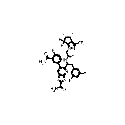 C[C@@H]1c2c(C(F)(F)F)nn(CC(=O)NC(Cc3cc(F)cc(F)c3)c3nc4nc(C(N)=O)sc4cc3-c3ccc(F)c(C(N)=O)c3)c2C(F)(F)[C@@H]1C